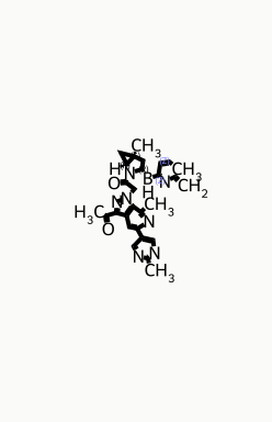 C=C/N=C(B[C@@H]1C[C@@]2(C)C[C@H]2N1C(=O)Cn1nc(C(C)=O)c2cc(-c3cnc(C)nc3)nc(C)c21)\C=C/C